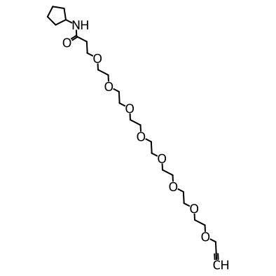 C#CCOCCOCCOCCOCCOCCOCCOCCOCCC(=O)NC1CCCC1